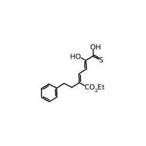 CCOC(=O)C(=CC=C(O)C(O)=S)CCc1ccccc1